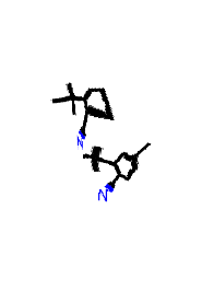 CC(C)(C)c1ccccc1C#N.Cc1ccc(C#N)c(C(C)(C)C)c1